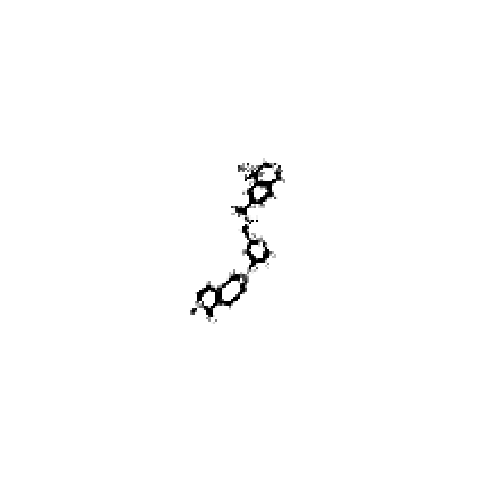 Cn1ccc2c(c1=O)CCN(c1ccnc(CNC(=O)c3ccc4c(c3)[C@](C)(C#N)COC4)c1)C2